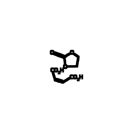 O=C(O)/C=C\C(=O)O.O=C1OCCO1